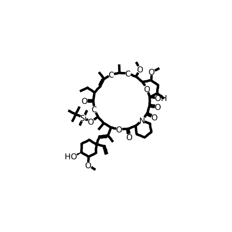 C=CC1(C=C(C)C2OC(=O)C3CCCCN3C(=O)C(=O)C3(O)OC(C(OC)CC(C)C/C(C)=C/C(CC)C(=O)CC(O[Si](C)(C)C(C)(C)C)C2C)C(OC)CC3C)CC[C@H](O)C(OC)C1